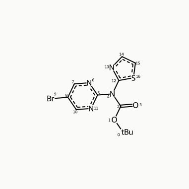 CC(C)(C)OC(=O)N(c1ncc(Br)cn1)c1nccs1